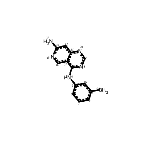 Bc1cccc(Nc2ncnc3cc(N)ncc23)c1